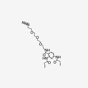 [N-]=[N+]=NCCOCCOCCOCCNC(=O)c1ccc(NC(=O)CI)cc1NC(=O)CI